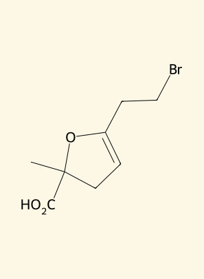 CC1(C(=O)O)CC=C(CCBr)O1